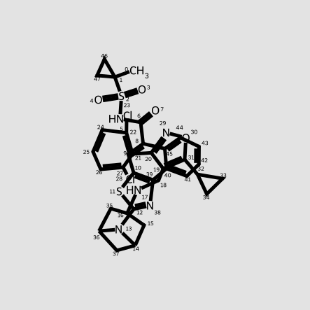 CC1(S(=O)(=O)NC(=O)c2cc3sc(N4C5CC(NCc6c(-c7c(Cl)cccc7Cl)noc6C6CC6)CC4C5)nc3c3ccccc23)CC1